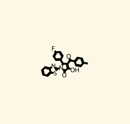 Cc1ccc(C(=O)C2=C(O)C(=O)N(c3nc4ccccc4s3)C2c2ccc(F)cc2)cc1